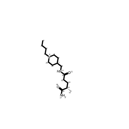 CCCCN1CCC(CNC(=O)[CH]C[C@H](C)C(N)=O)CC1